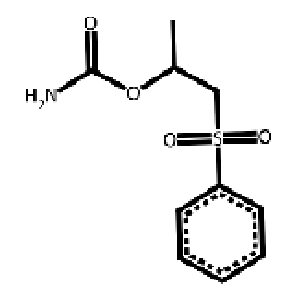 CC(CS(=O)(=O)c1ccccc1)OC(N)=O